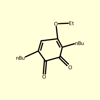 CCCCC1=CC(OCC)=C(CCCC)C(=O)C1=O